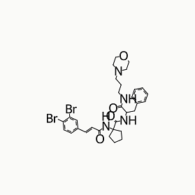 O=C(C=Cc1ccc(Br)c(Br)c1)NC1(C(=O)NC(Cc2ccccc2)C(=O)NCCCN2CCOCC2)CCCC1